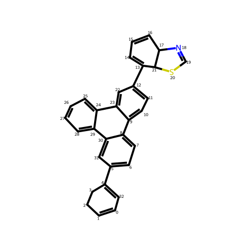 C1=CCCC(c2ccc3c4ccc(C5=CC=CC6N=CSC56)cc4c4ccccc4c3c2)=C1